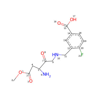 COC(=O)CC(N)C(=O)CNCc1cc(C(=O)O)ccc1F